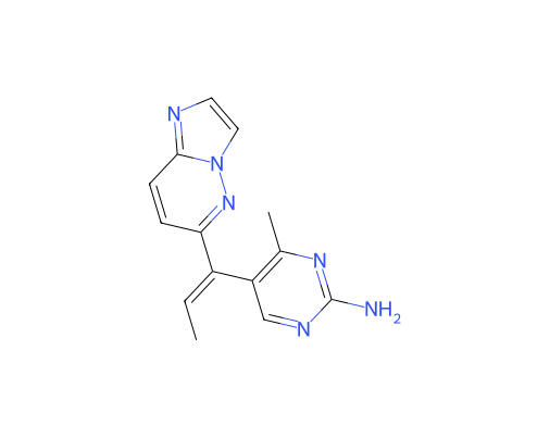 C/C=C(/c1ccc2nccn2n1)c1cnc(N)nc1C